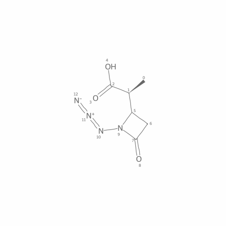 C[C@H](C(=O)O)C1CC(=O)N1N=[N+]=[N-]